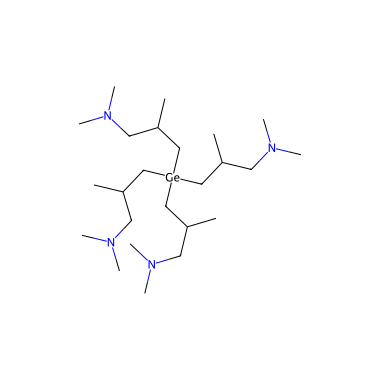 CC(CN(C)C)[CH2][Ge]([CH2]C(C)CN(C)C)([CH2]C(C)CN(C)C)[CH2]C(C)CN(C)C